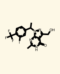 Cc1nc2c(c(CO)nn2C(C)c2ccc(C(F)(F)F)c(I)c2)c(=O)[nH]1